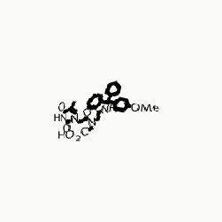 COc1ccc(C(NCCN(CC(=O)O)C(=O)Cn2cc(C)c(=O)[nH]c2=O)(c2ccccc2)c2ccccc2)cc1